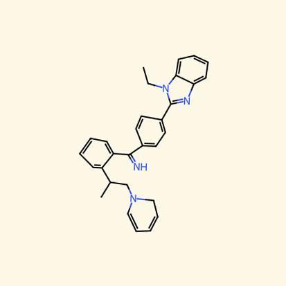 CCn1c(-c2ccc(C(=N)c3ccccc3C(C)CN3C=CC=CC3)cc2)nc2ccccc21